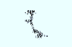 C[C@@H]1CN(c2ncc(-c3ccc4c(n3)N(Cc3cccnc3C#N)C(C)(C)C4=O)cn2)CCN1C(=O)COCCOCCOCCNC(=O)c1cccc(Oc2ccc(C(=O)N[C@@H](CCC(C)(C)C)C(=O)O)cn2)c1